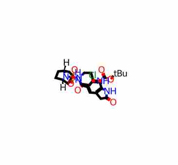 CC(C)(C)OC(=O)NC1CCN(S(=O)(=O)N2[C@@H]3CC[C@H]2C[C@H](NC(=O)c2cc4c(cc2Cl)NC(=O)C4)C3)CC1